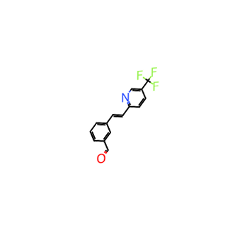 O=Cc1cccc(C=Cc2ccc(C(F)(F)F)cn2)c1